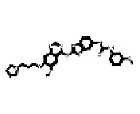 COc1cccc(NC(=O)Nc2ccc3nc(Nc4ncnc5cc(OCCCN6CCCC6)c(OC)cc45)sc3c2)c1